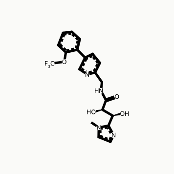 Cn1ccnc1[C@H](O)[C@@H](O)C(=O)NCc1ccc(-c2ccccc2OC(F)(F)F)cn1